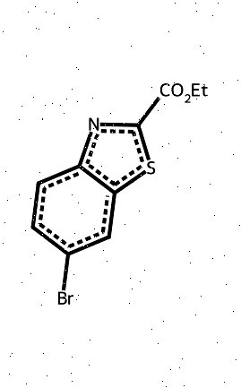 CCOC(=O)c1nc2ccc(Br)cc2s1